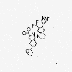 COC(=O)c1cc2cc(C3CCCO3)ccc2c(N2CCCc3cc(-c4cnn(C)c4)c(C(F)F)cc32)n1